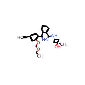 C#Cc1ccc(-c2nnc(N[C@H]3C[C@@](C)(O)C3)c3ccccc23)c(OCOCC)c1